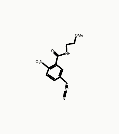 COCCNC(=O)c1cc(N=[N+]=[N-])ccc1[N+](=O)[O-]